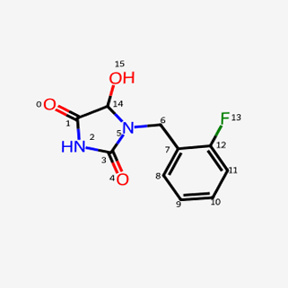 O=C1NC(=O)N(Cc2ccccc2F)C1O